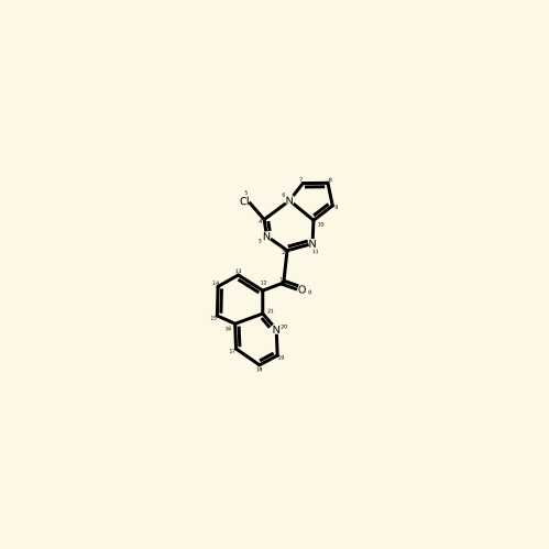 O=C(c1nc(Cl)n2cccc2n1)c1cccc2cccnc12